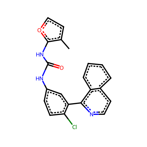 Cc1ccoc1NC(=O)Nc1ccc(Cl)c(-c2nccc3ccccc23)c1